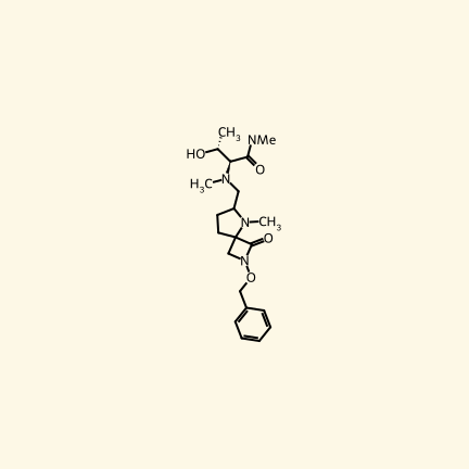 CNC(=O)[C@H]([C@@H](C)O)N(C)CC1CCC2(CN(OCc3ccccc3)C2=O)N1C